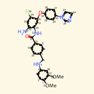 COc1ccc(NCc2ccc(C(=O)Nc3cc(Oc4ccc(-n5ccnc5)cc4)c(F)cc3N)cc2)cc1OC